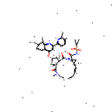 COc1ccc2c(O[C@@H]3C[C@H]4C(=O)N[C@]5(C(=O)NS(=O)(=O)C6CC6)C[C@H]5/C=C\CCCCN(C)C(=O)[C@@H]4C3)cc(-c3cccc(C)n3)nc2c1C